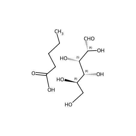 CCCCC(=O)O.O=C[C@H](O)[C@@H](O)[C@H](O)[C@H](O)CO